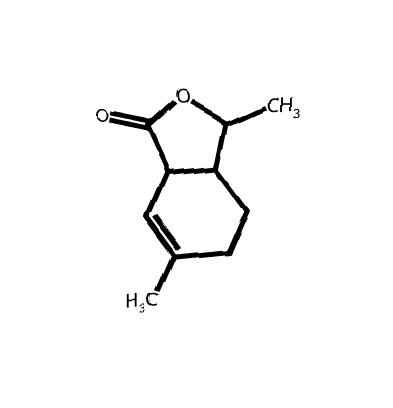 CC1=CC2C(=O)OC(C)C2CC1